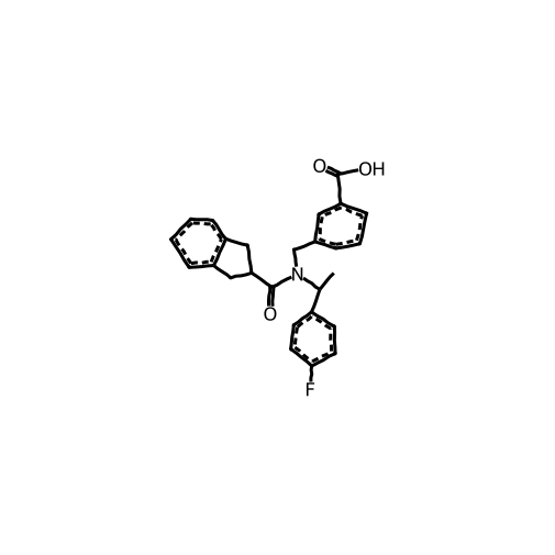 CC(c1ccc(F)cc1)N(Cc1cccc(C(=O)O)c1)C(=O)C1Cc2ccccc2C1